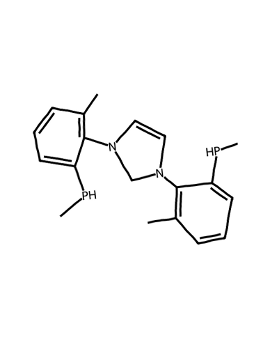 CPc1cccc(C)c1N1C=CN(c2c(C)cccc2PC)C1